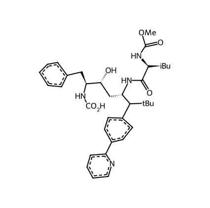 CC[C@H](C)[C@H](NC(=O)OC)C(=O)N[C@@H](C[C@@H](O)[C@H](Cc1ccccc1)NC(=O)O)C(c1ccc(-c2ccccn2)cc1)C(C)(C)C